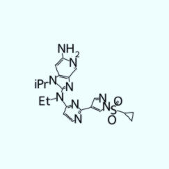 CCN(c1ccnc(-c2cnn(S(=O)(=O)C3CC3)c2)n1)c1nc2cnc(N)cc2n1C(C)C